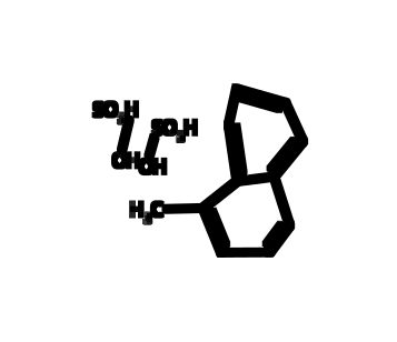 Cc1cccc2ccccc12.O=S(=O)(O)O.O=S(=O)(O)O